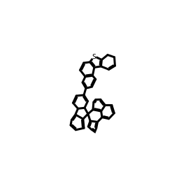 C1=Cc2c(sc3ccc4cc(C5=CC6C(C=C5)c5ccccc5C65c6ccccc6-c6cccc7cccc5c67)ccc4c23)CC1